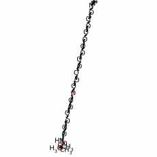 CC(C)(C)OC(=O)NCCOCCOCCOCCOCCOCCOCCOCCOCCOCCOCCOCCOCCOCCOCCOCCOCCOCCOCCOCCN=[N+]=[N-]